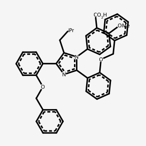 COc1ccc(-n2c(-c3ccccc3OCc3ccccc3)nc(-c3ccccc3OCc3ccccc3)c2CC(C)C)cc1C(=O)O